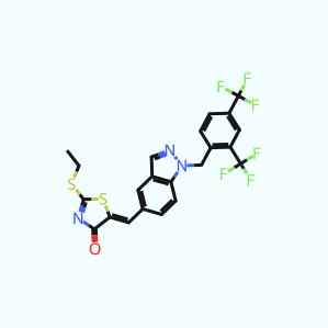 CCSC1=NC(=O)C(=Cc2ccc3c(cnn3Cc3ccc(C(F)(F)F)cc3C(F)(F)F)c2)S1